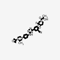 CC(O)C(=O)N1CC[C@@H](Oc2ccc(-c3ncnc(Nc4ccc(N5CCN(C6COC6)[C@H](C)C5)cc4)n3)cc2C#N)C(F)(F)C1